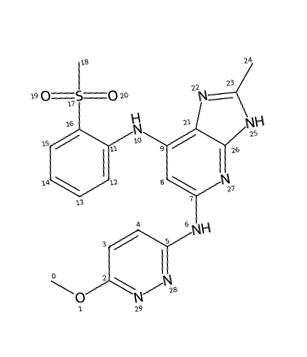 COc1ccc(Nc2cc(Nc3ccccc3S(C)(=O)=O)c3nc(C)[nH]c3n2)nn1